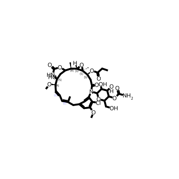 CCC(=O)O[C@H]1CC(=O)N(C2OC(CO)C(OC(N)=O)C(O)C2O)c2cc(cc(OC)c2Cl)C/C(C)=C/C=C/[C@@H](OC)[C@@]2(O)CC(OC(=O)N2)[C@@H](C)[C@@H]2O[C@@]12C